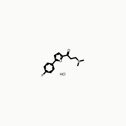 CN(C)CCC(=O)c1ccc(-c2ccc(F)cc2)o1.Cl